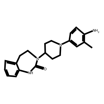 Cc1cc(N2CCC(N3CCc4ccccc4NC3=O)CC2)ccc1N